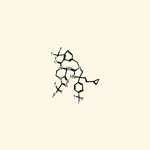 N=C1NC(CCC2CC2)(c2ccc(C(F)(F)F)cc2)CN1Cc1ccc(C(F)(F)F)c(C(=O)N2CCn3c(nnc3C(F)(F)F)C2)c1